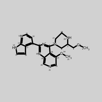 COCC1CN(c2nc(-c3ccnc4[nH]ccc34)nc3cncc(OC)c23)CCN1